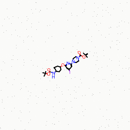 CC(C)(C)OC(=O)NC1CCC(Oc2cc(I)cc(N3CCN(C(=O)OC(C)(C)C)CC3)n2)CC1